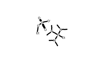 CCOS(=O)(=O)[O-].CC[P+](N(C)C)(N(C)C)N(C)C